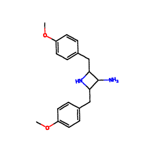 COc1ccc(CC2NC(Cc3ccc(OC)cc3)C2N)cc1